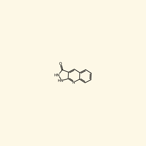 O=c1[nH][nH]c2nc3ccccc3cc12